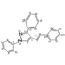 C(=C\c1cn(-c2ccccc2)nc1-c1ccccc1)/c1ccccc1